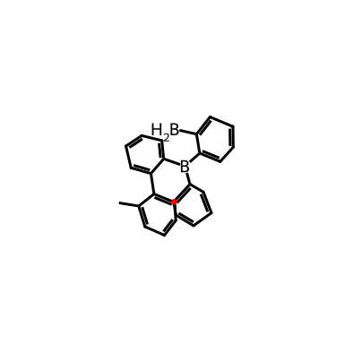 Bc1ccccc1B(c1ccccc1)c1ccccc1-c1ccccc1C